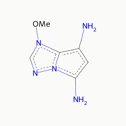 COn1cnn2c(N)cc(N)c12